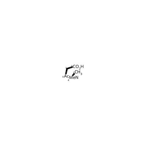 CC(=O)CC(=O)O.CNC